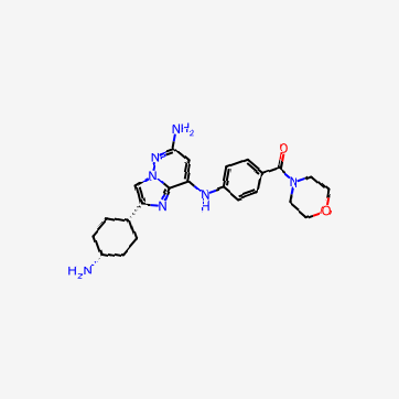 Nc1cc(Nc2ccc(C(=O)N3CCOCC3)cc2)c2nc([C@H]3CC[C@@H](N)CC3)cn2n1